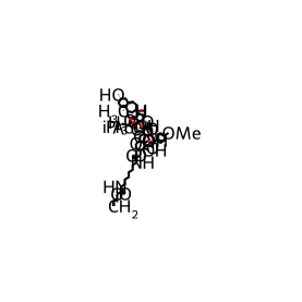 C=CCOC(=O)NCCCCCCNC(=O)OC1COC(OC2C(O)COC(O[C@H]3C[C@H]4[C@@H]5CC=C6C[C@@H](O)CC[C@]6(C)C(CC[C@]4(C)[C@@]3(O)[C@H](C)C(=O)CCC(C)C)C5)C2OC(C)=O)C(OC(=O)c2ccc(OC)cc2)C1O